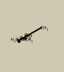 CCCCCCCCCCCCCCCCCCNC(=O)OCC(COC(=O)NCc1cccc[n+]1CC)OCC.[I-]